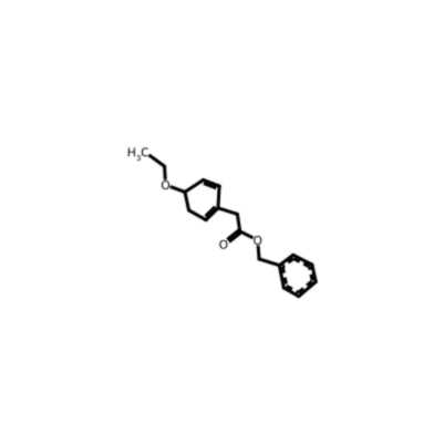 CCOC1C=CC(CC(=O)OCc2ccccc2)=CC1